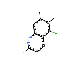 Cc1cc2nc(F)ccc2c(Cl)c1C